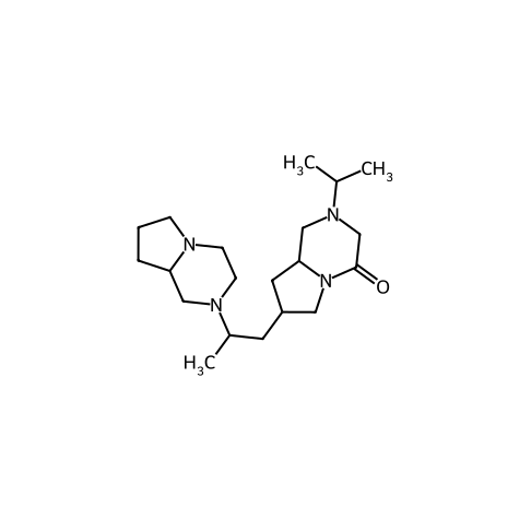 CC(C)N1CC(=O)N2CC(CC(C)N3CCN4CCCC4C3)CC2C1